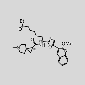 CCC(=O)CCCCC[C@H](NC(=O)[C@H]1CC12CCN(C)CC2)c1ncc(-c2cc3ccccc3nc2OC)o1